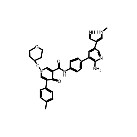 CN/C=C(\C=N)c1cnc(N)c(-c2ccc(NC(=O)c3cn(CC4CCOCC4)cc(-c4ccc(C)cc4)c3=O)cc2)c1